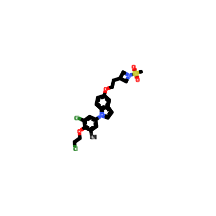 CS(=O)(=O)N1CC(CCOc2ccc3c(ccn3-c3cc(Cl)c(OCCCl)c(C#N)c3)c2)C1